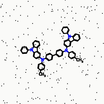 CC1=CCC(N(c2ccc(-c3ccc(N(c4ccc(C)cc4)c4ccc5c(c4)c4ccccc4n5-c4ccccc4)cc3)cc2)c2ccc3c(c2)c2ccccc2n3C2=CC=CCC2)C=C1